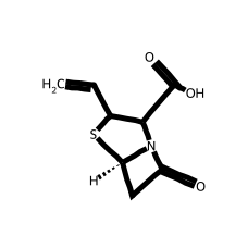 C=CC1S[C@@H]2CC(=O)N2C1C(=O)O